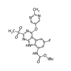 Cc1ncc(Oc2nc(S(C)(=O)=O)nc3[nH]c4c(NC(=O)OC(C)(C)C)cc(F)cc4c23)cn1